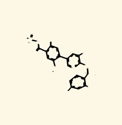 COc1cc(C(=O)NS(C)(=O)=O)c(F)cc1-c1cnc(O[C@H](C)c2ccc(F)cc2Cl)c(Cl)c1